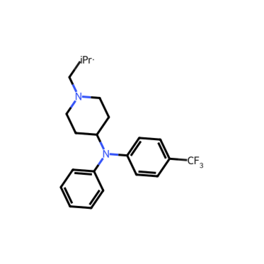 C[C](C)CN1CCC(N(c2ccccc2)c2ccc(C(F)(F)F)cc2)CC1